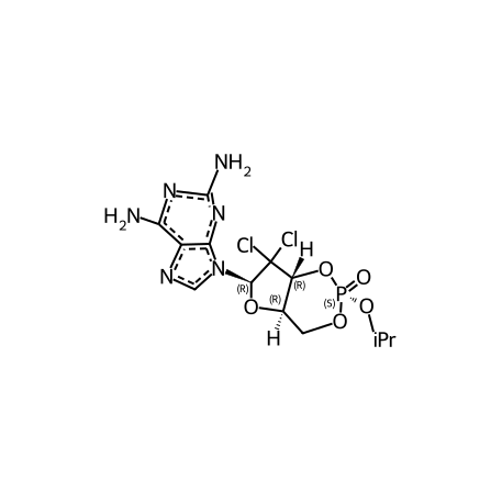 CC(C)O[P@]1(=O)OC[C@H]2O[C@@H](n3cnc4c(N)nc(N)nc43)C(Cl)(Cl)[C@@H]2O1